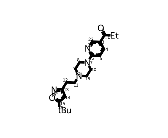 CCC(=O)c1ccc(N2CCN(CCc3cc(C(C)(C)C)on3)CC2)nc1